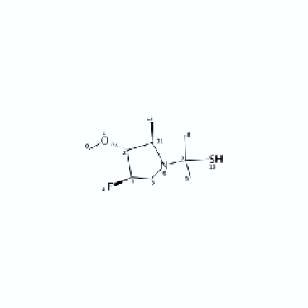 CO[C@H]1[C@H](F)CN(C(C)(C)S)[C@@H]1C